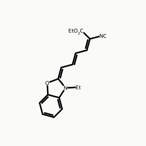 [C-]#[N+]C(=CC=CC=C1Oc2ccccc2N1CC)C(=O)OCC